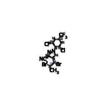 C/C(Br)=C(\Br)c1cn(-c2c(Cl)cc(C(F)(F)F)cc2Cl)nc1C#N